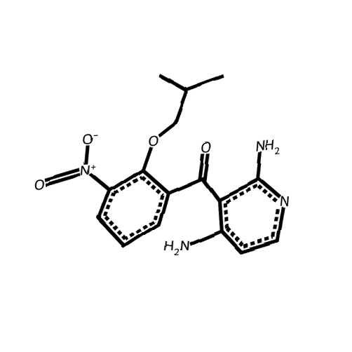 CC(C)COc1c(C(=O)c2c(N)ccnc2N)cccc1[N+](=O)[O-]